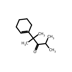 CC(C)C(=O)C(C)(C)C1=CCCCC1